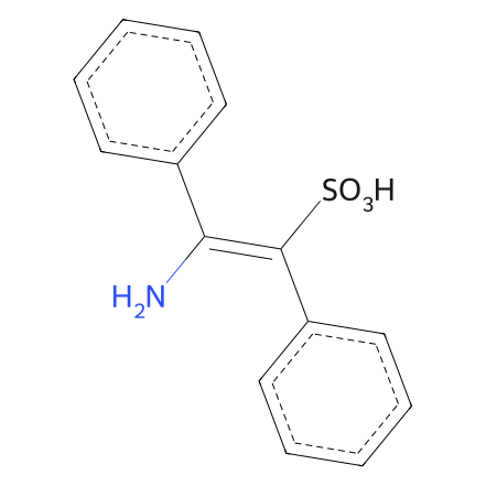 NC(=C(c1ccccc1)S(=O)(=O)O)c1ccccc1